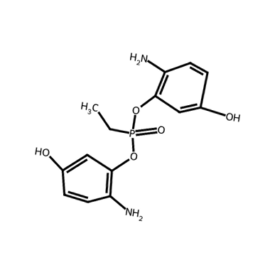 CCP(=O)(Oc1cc(O)ccc1N)Oc1cc(O)ccc1N